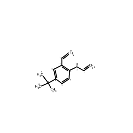 C=CNc1ccc(C(C)(C)C)cc1C=C